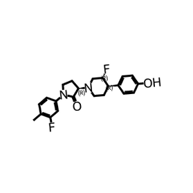 Cc1ccc(N2CC[C@@H](N3CC[C@H](c4ccc(O)cc4)[C@@H](F)C3)C2=O)cc1F